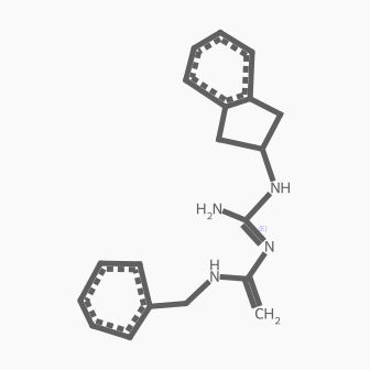 C=C(/N=C(\N)NC1Cc2ccccc2C1)NCc1ccccc1